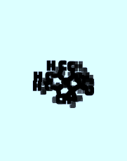 CC(C)[Si](C(C)C)(C(C)C)C1(C(=O)O)CC1